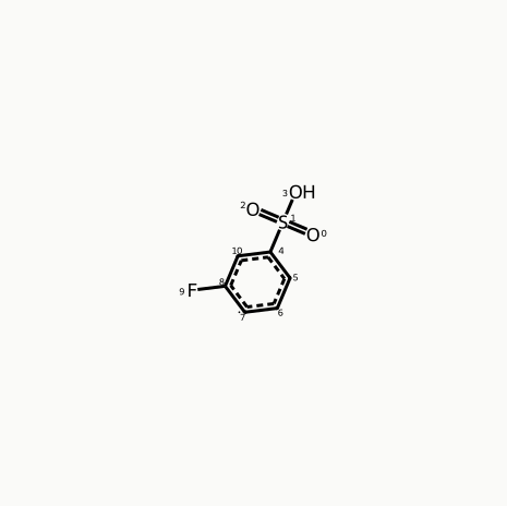 O=S(=O)(O)c1cc[c]c(F)c1